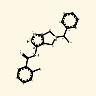 Cc1ccccc1C(=O)Nc1[nH]nc2c1CN(C(C)c1ccccc1)C2